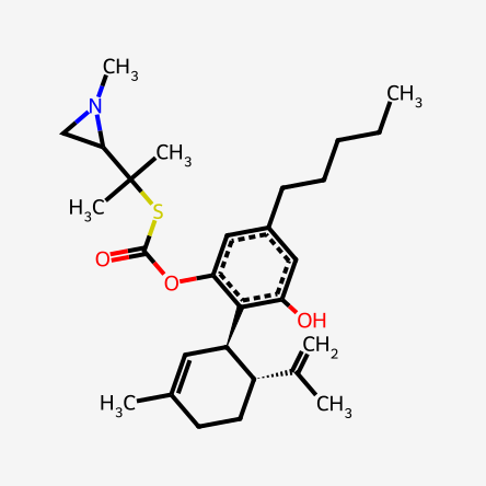 C=C(C)[C@@H]1CCC(C)=C[C@H]1c1c(O)cc(CCCCC)cc1OC(=O)SC(C)(C)C1CN1C